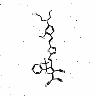 CCCN(CCO)c1ccc(/C=C/c2ccc(/C=C/C3=C(C#N)C(=C(C#N)C#N)OC3(c3ccccc3)C(F)(F)F)s2)c(OC)c1